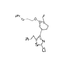 CC(C)Cc1sc(Cl)nc1-c1ccc(F)c(OCCOC(C)C)c1